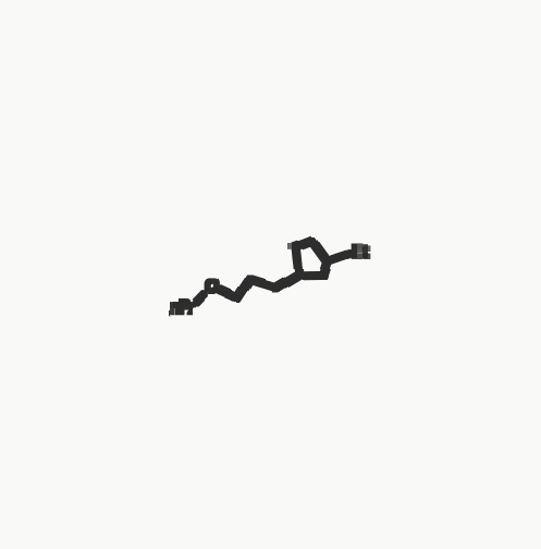 [CH2]CC1C[CH]C(CCCOCCC)C1